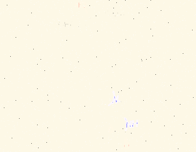 COc1cc(/C=C/c2ccc(N3CC4NC(=O)OC4C3)cc2)cc(C=O)c1O